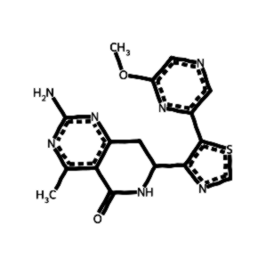 COc1cncc(-c2scnc2C2Cc3nc(N)nc(C)c3C(=O)N2)n1